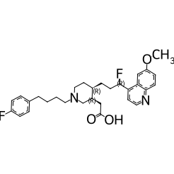 COc1ccc2nccc([C@H](F)CC[C@@H]3CCN(CCCCc4ccc(F)cc4)C[C@@H]3CC(=O)O)c2c1